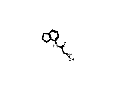 O=C(CNO)Nc1cccc2c1CCC2